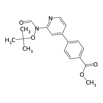 COC(=O)c1ccc(-c2ccnc(N(C=O)OC(C)(C)C)c2)cc1